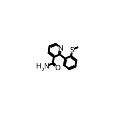 CSc1ccccc1-c1ncccc1C(N)=O